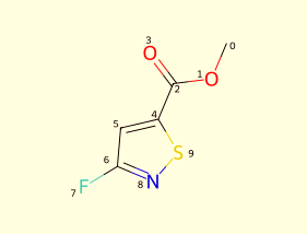 COC(=O)c1cc(F)ns1